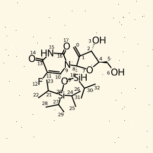 C=C1[C@H](O)[C@@H](CO)O[C@]1(n1cc(F)c(=O)[nH]c1=O)[SiH](O[Si](C(C)C)(C(C)C)C(C)C)C(C)C